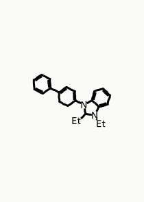 CCC1N(CC)c2ccccc2N1C1=CC=C(c2ccccc2)CC1